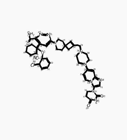 N#C[C@]1(OC2(c3cc(N4CCC5(CC4)CC(CN4CCN(c6ccn7c(N8CCC(=O)NC8=O)cnc7c6)CC4)C5)nnc3C(N)=O)CCCCC2)C=CC=CC1Cl